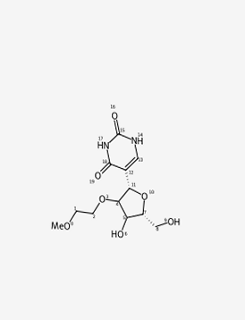 COCCOC1C(O)[C@@H](CO)O[C@H]1c1c[nH]c(=O)[nH]c1=O